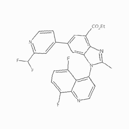 CCOC(=O)c1cc(-c2ccnc(C(F)F)c2)cc2c1nc(C)n2-c1ccnc2c(F)ccc(F)c12